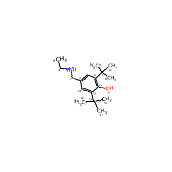 CCNCc1cc(C(C)(C)C)c(O)c(C(C)(C)C)c1